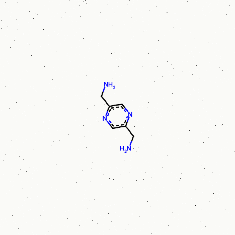 NCc1cnc(CN)cn1